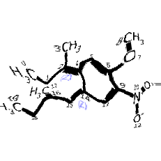 CC/C(C)=c1/cc(OC)c([N+](=O)[O-])c/c1=C/C(C)CC